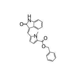 Cn1c(C=C2C(=O)Nc3ccccc32)ccc1C(=O)OCc1ccccc1